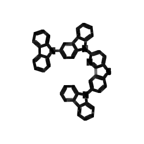 c1ccc2c(c1)c1ccccc1n2-c1ccc2sc3ccc(-n4c5ccccc5c5cc(-n6c7ccccc7c7ccccc76)ccc54)nc3c2c1